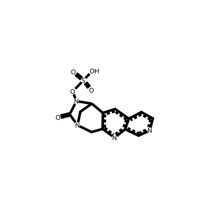 O=C1N2Cc3nc4cnccc4cc3C(C2)N1OS(=O)(=O)O